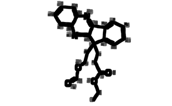 CCOC(=O)CCC1(CCOC=O)c2ccccc2-c2nc3ccccc3nc21